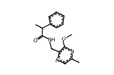 COc1nc(C)cnc1CNC(=O)C(C)c1ccccc1